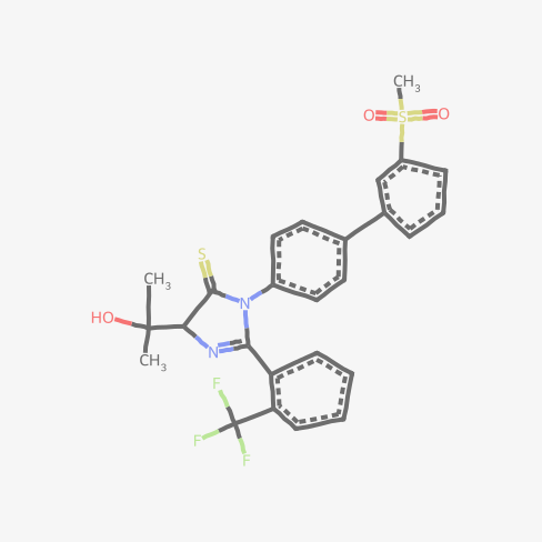 CC(C)(O)C1N=C(c2ccccc2C(F)(F)F)N(c2ccc(-c3cccc(S(C)(=O)=O)c3)cc2)C1=S